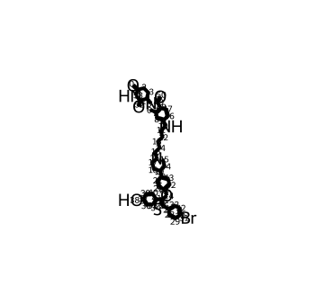 O=C1CCC(N2Cc3cc(NCCCCCN4CCC(c5ccc(Oc6c(-c7ccc(Br)cc7)sc7cc(O)ccc67)cc5)CC4)ccc3C2=O)C(=O)N1